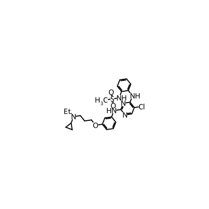 CCN(CCCOc1cccc(Nc2ncc(Cl)c(Nc3ccccc3NS(C)(=O)=O)n2)c1)C1CC1